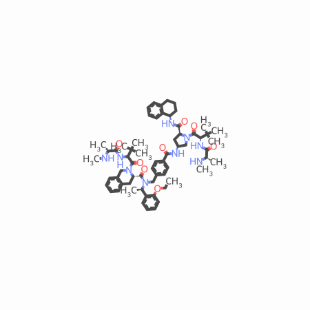 CCOc1ccccc1[C@@H](C)N(Cc1ccc(C(=O)N[C@H]2C[C@@H](C(=O)N[C@@H]3CCCc4ccccc43)N(C(=O)[C@@H](NC(=O)[C@H](C)NC)C(C)(C)C)C2)cc1)C(=O)[C@@H]1Cc2ccccc2CN1C(=O)C(NC(=O)[C@H](C)NC)C(C)(C)C